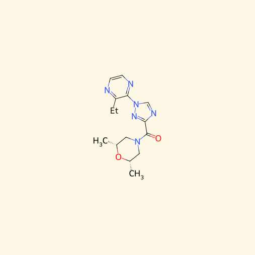 CCc1nccnc1-n1cnc(C(=O)N2C[C@@H](C)O[C@@H](C)C2)n1